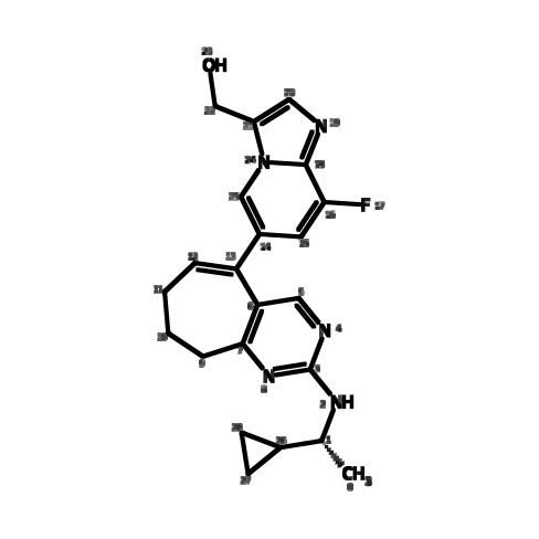 C[C@@H](Nc1ncc2c(n1)CCCC=C2c1cc(F)c2ncc(CO)n2c1)C1CC1